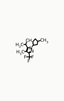 Cc1c(C(F)(F)F)nn(C2CCC(C)C2)c1C(C)C